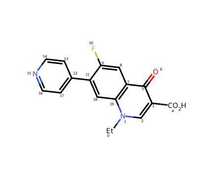 CCn1cc(C(=O)O)c(=O)c2cc(F)c(-c3ccncc3)cc21